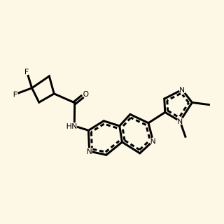 Cc1ncc(-c2cc3cc(NC(=O)C4CC(F)(F)C4)ncc3cn2)n1C